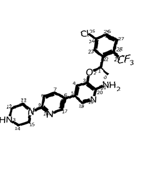 C[C@@H](Oc1cc(-c2ccc(N3CCNCC3)nc2)cnc1N)c1cc(Cl)ccc1C(F)(F)F